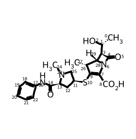 C[C@@H](O)[C@H]1C(=O)N2C(C(=O)O)=C(S[C@H]3C[C@@H](C(=O)Nc4ccccc4)N(C)C3)[C@H](C)[C@H]12